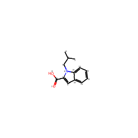 CC(C)Cn1c(C(=O)O)cc2ccccc21